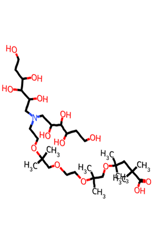 CC(C)(COCCOC(C)(C)COC(C)(C)CC(C)(C)C(=O)O)OCCN(CC(O)C(O)C(O)CCO)CC(O)C(O)C(O)CCO